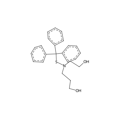 OCCCN(CCO)SC(c1ccccc1)(c1ccccc1)c1ccccc1